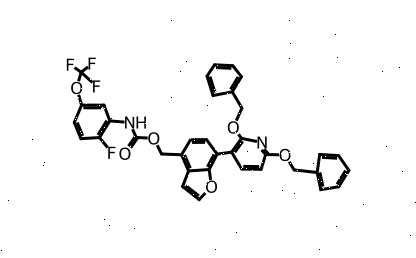 O=C(Nc1cc(OC(F)(F)F)ccc1F)OCc1ccc(-c2ccc(OCc3ccccc3)nc2OCc2ccccc2)c2occc12